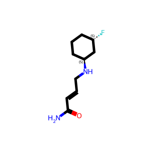 NC(=O)C=CCN[C@H]1CCC[C@H](F)C1